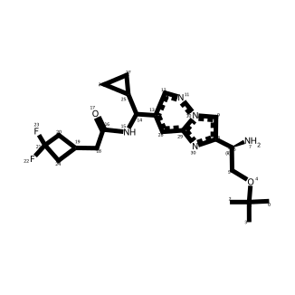 CC(C)(C)OC[C@H](N)c1cn2ncc(C(NC(=O)CC3CC(F)(F)C3)C3CC3)cc2n1